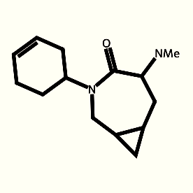 CNC1CC2CC2CN(C2CC=CCC2)C1=O